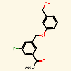 COC(=O)c1cc(F)cc(COc2cccc(CO)c2)c1